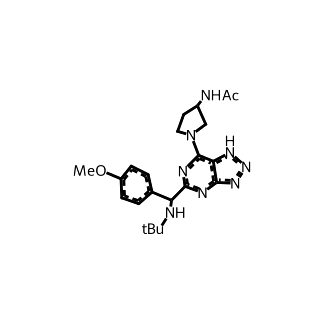 COc1ccc(C(NC(C)(C)C)c2nc(N3CCC(NC(C)=O)C3)c3[nH]nnc3n2)cc1